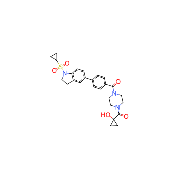 O=C(c1ccc(-c2ccc3c(c2)CCN3S(=O)(=O)C2CC2)cc1)N1CCN(C(=O)C2(O)CC2)CC1